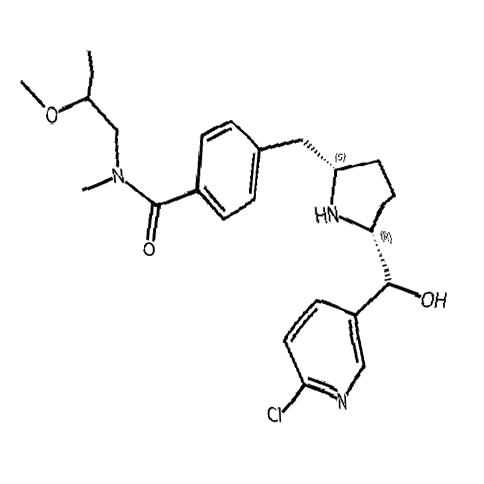 COC(C)CN(C)C(=O)c1ccc(C[C@@H]2CC[C@H](C(O)c3ccc(Cl)nc3)N2)cc1